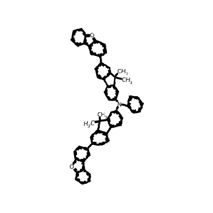 CC1(C)c2cc(-c3ccc4oc5ccccc5c4c3)ccc2-c2ccc(N(c3ccccc3)c3ccc4c(c3)C(C)(C)c3cc(-c5ccc6oc7ccccc7c6c5)ccc3-4)cc21